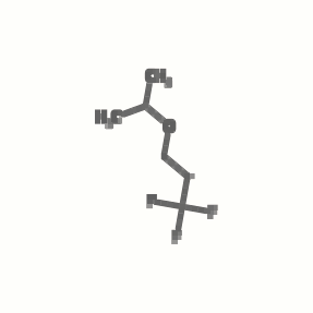 CC(C)OC[CH]C(F)(F)F